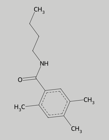 CCCCNC(=O)c1cc(C)c(C)cc1C